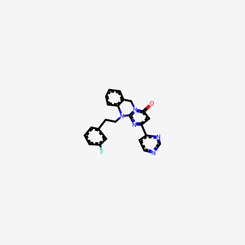 O=c1cc(-c2ccncn2)nc2n1Cc1ccccc1N2CCc1cccc(F)c1